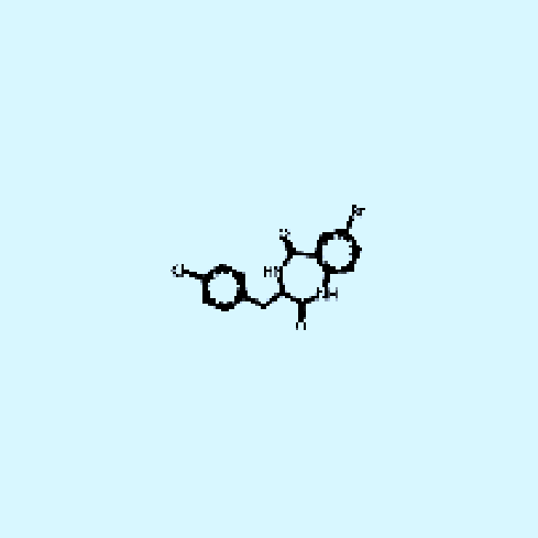 O=C1NC(Cc2ccc(Cl)cc2)C(=O)Nc2ccc(Br)cc21